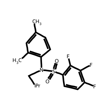 Cc1ccc(N(CC(C)C)S(=O)(=O)c2ccc(F)c(F)c2F)c(C)c1